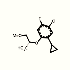 COC[C@H](Oc1cc(F)c(Cl)cc1C1CC1)C(=O)O